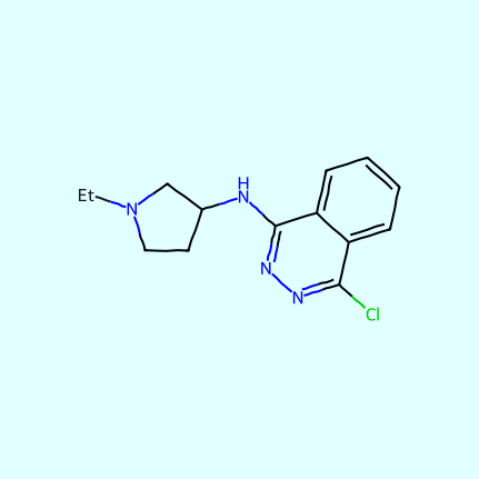 CCN1CCC(Nc2nnc(Cl)c3ccccc23)C1